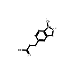 O=C(O)CCc1ccc2c(c1)COB2O